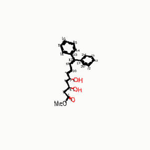 COC(=O)C[C@H](O)C[C@H](O)/C=C/C=C(c1ccccc1)c1ccccc1